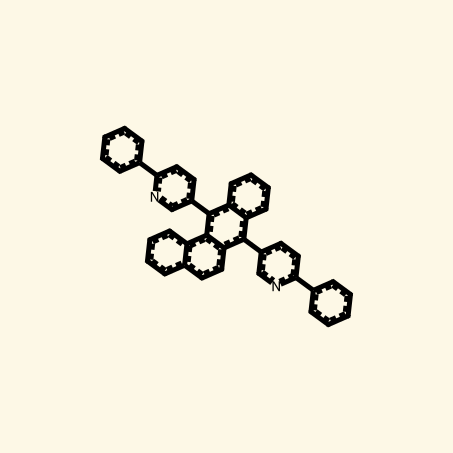 c1ccc(-c2ccc(-c3c4ccccc4c(-c4ccc(-c5ccccc5)nc4)c4c3ccc3ccccc34)cn2)cc1